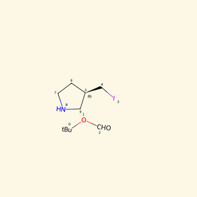 CC(C)(C)OC=O.IC[C@@H]1CCNC1